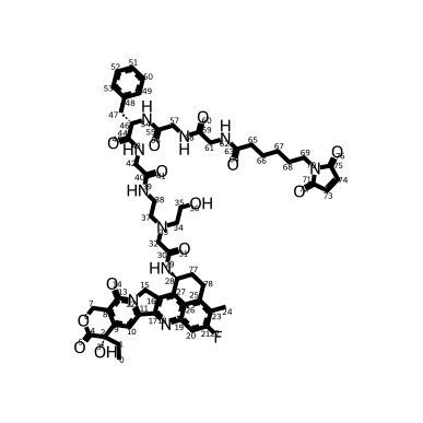 CC[C@@]1(O)C(=O)OCc2c1cc1n(c2=O)Cc2c-1nc1cc(F)c(C)c3c1c2[C@@H](NC(=O)CN(CCO)CCNC(=O)CNC(=O)[C@H](Cc1ccccc1)NC(=O)CNC(=O)CNC(=O)CCCCCN1C(=O)C=CC1=O)CC3